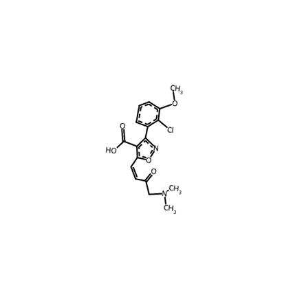 COc1cccc(-c2noc(/C=C\C(=O)CN(C)C)c2C(=O)O)c1Cl